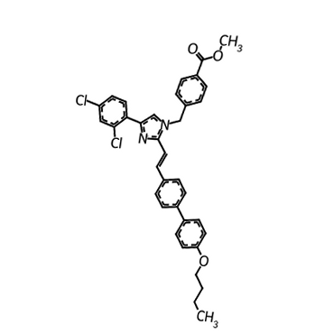 CCCCOc1ccc(-c2ccc(C=Cc3nc(-c4ccc(Cl)cc4Cl)cn3Cc3ccc(C(=O)OC)cc3)cc2)cc1